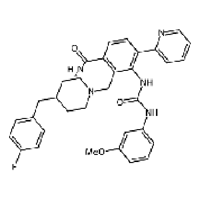 COc1cccc(NC(=O)Nc2c(-c3ccccn3)ccc(C(N)=O)c2CN2CCC(Cc3ccc(F)cc3)CC2)c1